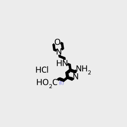 Cl.Nc1ncc(/C=C/C(=O)O)cc1CNCCN1CCOCC1